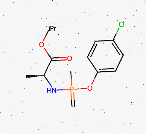 C=P(C)(N[C@@H](C)C(=O)OC(C)C)Oc1ccc(Cl)cc1